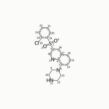 O=S(=O)(c1cnc2c(N3CCNCC3)cccc2c1)c1ccccc1Cl